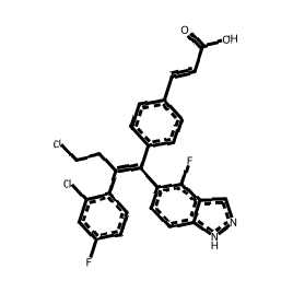 O=C(O)C=Cc1ccc(C(=C(CCCl)c2ccc(F)cc2Cl)c2ccc3[nH]ncc3c2F)cc1